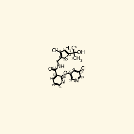 CC(C)(O)c1cc(Cl)c(CNC(=O)c2cccnc2Oc2cncc(Cl)c2)s1